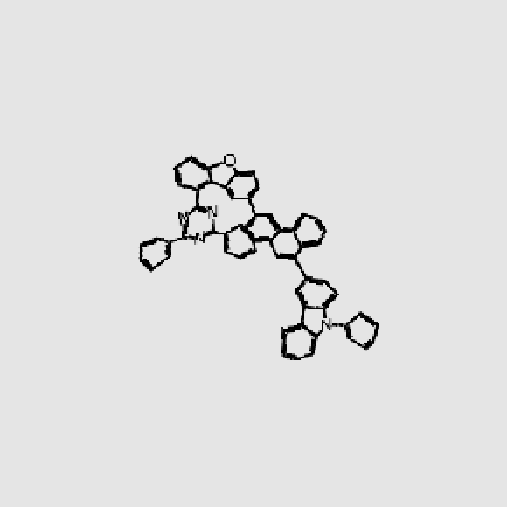 c1ccc(-c2nc(-c3ccccc3)nc(-c3cccc4oc5ccc(-c6ccc7cc(-c8ccc9c(c8)c8ccccc8n9-c8ccccc8)c8ccccc8c7c6)cc5c34)n2)cc1